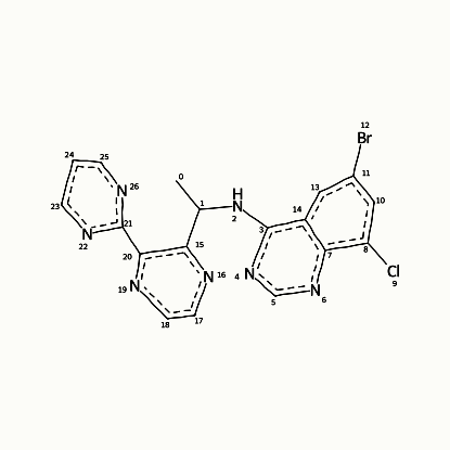 CC(Nc1ncnc2c(Cl)cc(Br)cc12)c1nccnc1-c1ncccn1